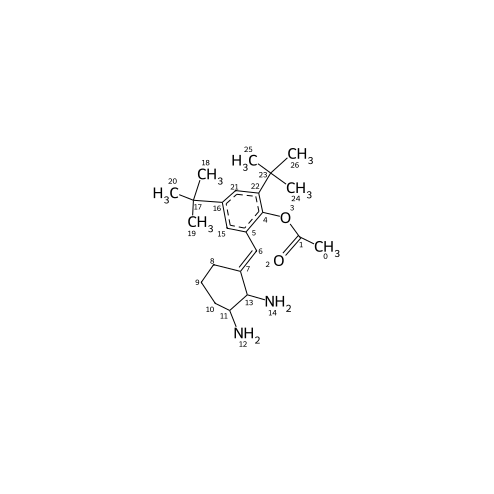 CC(=O)Oc1c(C=C2CCCC(N)C2N)cc(C(C)(C)C)cc1C(C)(C)C